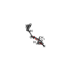 CCc1cc2c(cc1N1CCC(N3CCN(C(=O)CCCCCCNc4cccc5c4CN(C4CCC(=O)NC4=O)C5=O)CC3)CC1)C(C)(C)c1[nH]c3cc(C#N)ccc3c1C2=O